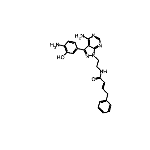 Nc1ccc(-c2nn(CCNC(=O)C=CCc3ccccc3)c3ncnc(N)c23)cc1O